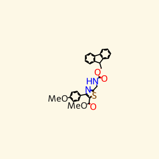 COC(=O)c1sc(CNC(=O)OCC2c3ccccc3-c3ccccc32)nc1-c1ccc(OC)cc1